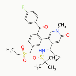 CCS(=O)(=O)Cc1ccc(C(=O)c2ccc(F)cc2)c(-c2cn(C)c(=O)cc2[C@@H](N[S@@+]([O-])C(C)(C)C)C2CC2)c1